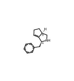 C1=C2[C@@H](CC1)CN[C@H]2Cc1ccccc1